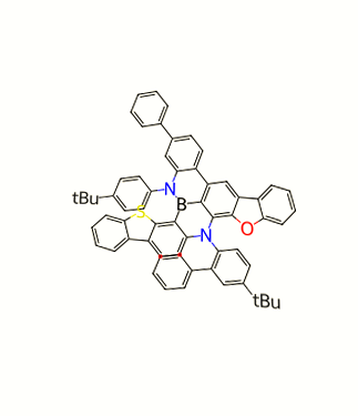 CC(C)(C)c1ccc(N2B3c4c(cc5c(oc6ccccc65)c4N(c4ccc(C(C)(C)C)cc4-c4ccccc4)c4ccc5c(sc6ccccc65)c43)-c3ccc(-c4ccccc4)cc32)cc1